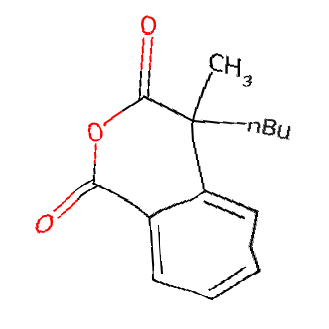 CCCCC1(C)C(=O)OC(=O)c2ccccc21